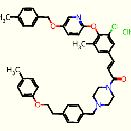 Cc1ccc(COc2ccc(Oc3c(C)cc(C=CC(=O)N4CCN(Cc5ccc(CCOc6ccc(C)cc6)cc5)CC4)cc3Cl)nc2)cc1.Cl